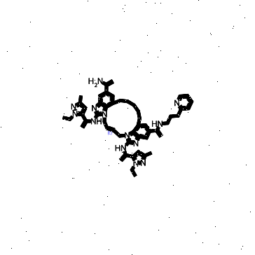 C=C(N)c1cc2c3c(c1)nc(NC(=C)c1cc(C)nn1CC)n3C/C=C/Cn1c(NC(=C)c3cc(C)nn3CC)nc3cc(C(=C)NCCCc4ccccn4)cc(c31)CCCCC2